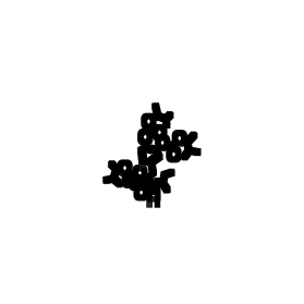 CCC(C)N[C@@](Cc1ccc(OC(=O)OC(C)C(C)C)c(OC(=O)OC(C)C(C)C)c1)(OC(=O)OC(C)C(C)C)C(=O)O